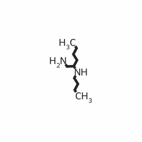 CCCCNC(CN)CCCC